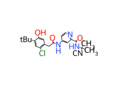 CC(C)(C#N)NC(=O)c1cc(NC(=O)Cc2cc(O)c(C(C)(C)C)cc2Cl)ccn1